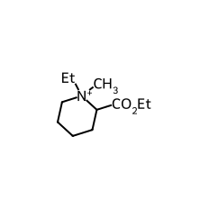 CCOC(=O)C1CCCC[N+]1(C)CC